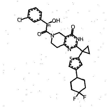 O=C([C@H](O)c1cccc(Cl)c1)N1CCc2nc(C3(c4cc(C5CCC(F)(F)CC5)cs4)CC3)[nH]c(=O)c2C1